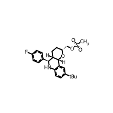 CC(C)(C)c1ccc2c(c1)[C@H]1O[C@@H](COS(C)(=O)=O)CC[C@H]1[C@H](c1ccc(F)cc1)N2